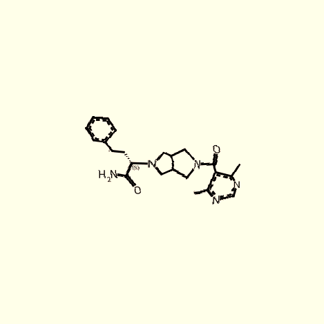 Cc1ncnc(C)c1C(=O)N1CC2CN([C@@H](C[CH]c3ccccc3)C(N)=O)CC2C1